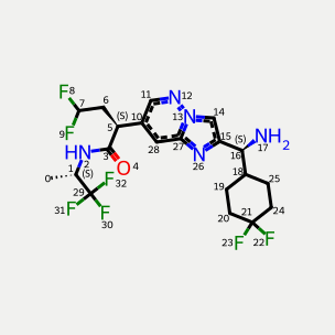 C[C@H](NC(=O)[C@@H](CC(F)F)c1cnn2cc([C@@H](N)C3CCC(F)(F)CC3)nc2c1)C(F)(F)F